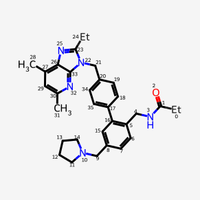 CCC(=O)NCc1ccc(CN2CCCC2)cc1-c1ccc(Cn2c(CC)nc3c(C)cc(C)nc32)cc1